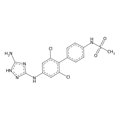 CS(=O)(=O)Nc1ccc(-c2c(Cl)cc(Nc3n[nH]c(N)n3)cc2Cl)cc1